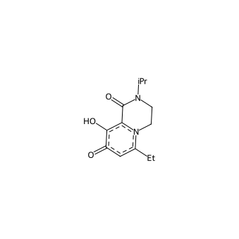 CCc1cc(=O)c(O)c2n1CCN(C(C)C)C2=O